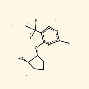 CC(F)(F)c1cnc(Cl)nc1O[C@H]1CCC[C@H]1O